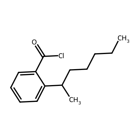 CCCCCC(C)c1ccccc1C(=O)Cl